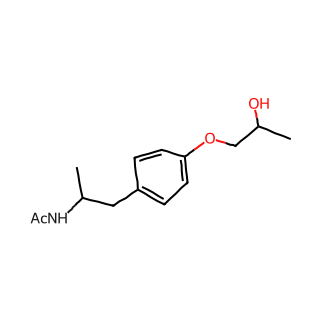 CC(=O)NC(C)Cc1ccc(OCC(C)O)cc1